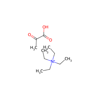 CC(=O)C(=O)O.CC[N+](CC)(CC)CC